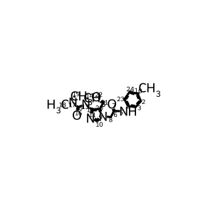 Cc1ccc(NC(=O)Cn2cnc(N(C)C(=O)N(C)C)c2C=O)cc1